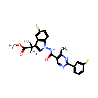 COC(=O)C(C)(C)c1cn(NC(=O)c2cnc(-c3cccc(F)c3)nc2C)c2ccc(F)cc12